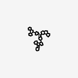 c1ccc(-n2c3ccccc3c3c(-c4ccc(N(c5ccc(-c6cc7ccccc7c7ccccc67)cc5)c5ccc6ccc7ccccc7c6c5)cc4)cccc32)cc1